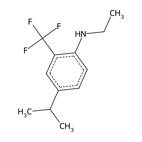 CCNc1ccc(C(C)C)cc1C(F)(F)F